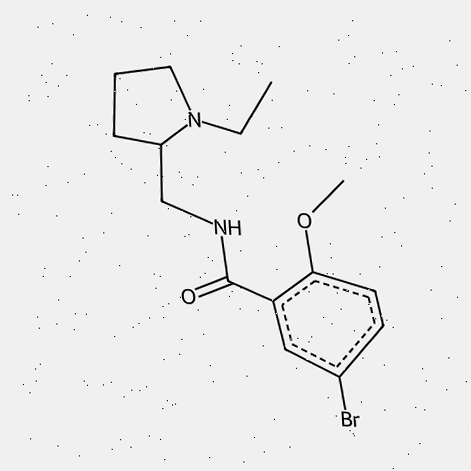 CCN1CCCC1CNC(=O)c1cc(Br)ccc1OC